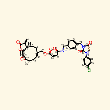 C=C1C(=O)O[C@H]2[C@H]1CC/C(COC(=O)/C=C\C(=O)NCc1ccc(Cn3c(=O)sn(-c4ccc(Cl)cc4)c3=O)cc1)=C\CC[C@@]1(C)O[C@@H]21